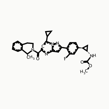 COC(=O)N[C@H]1C[C@@H]1c1ccc(-c2cc3nc(C(=O)N4CCc5ccccc5[C@H]4C)cc(C4CC4)n3n2)c(F)c1